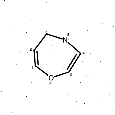 C1=COC=C[N]C1